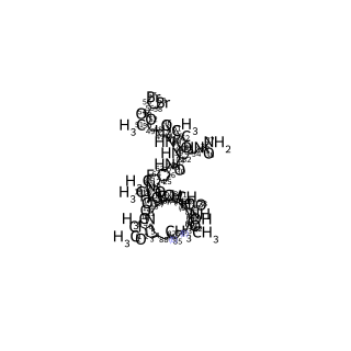 COc1cc2cc(c1Cl)N(C)C(=O)C[C@H](OC(=O)[C@H](C)N(C)C(=O)c1ccc(NC(=O)[C@H](CCCNC(N)=O)NC(=O)[C@@H](NC(C=O)CCCC(C)OC(=O)C(CBr)CBr)C(C)C)cc1F)[C@]1(C)O[C@H]1[C@H](C)[C@@H]1C[C@@](O)(NC(=O)O1)[C@H](OC)/C=C/C=C(\C)C2